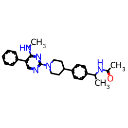 CNc1nc(N2CCC(c3ccc(C(C)NC(C)=O)cc3)CC2)ncc1-c1ccccc1